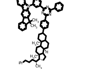 CC(C)CCC[C@@H](C)[C@H]1CCC2[C@@H]3CCC4CC(c5ccc(-c6nc(-c7ccccc7)nc(-c7cccc(-n8c9ccccc9c9cc%10c(cc98)C(C)(C)c8ccccc8-%10)c7)n6)cc5)CC[C@]4(C)C3CC[C@@]21C